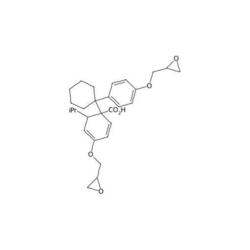 CC(C)C1C=C(OCC2CO2)C=CC1(C(=O)O)C1(c2ccc(OCC3CO3)cc2)CCCCC1